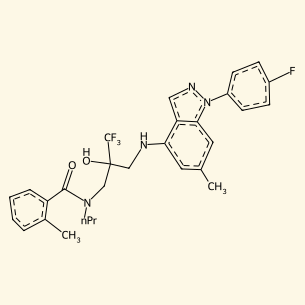 CCCN(CC(O)(CNc1cc(C)cc2c1cnn2-c1ccc(F)cc1)C(F)(F)F)C(=O)c1ccccc1C